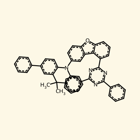 CC1(C)c2ccccc2N(c2ccc3oc4cccc(-c5nc(-c6ccccc6)nc(-c6ccccc6)n5)c4c3c2)c2ccc(-c3ccccc3)cc21